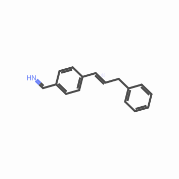 N=Cc1ccc(/C=C/Cc2ccccc2)cc1